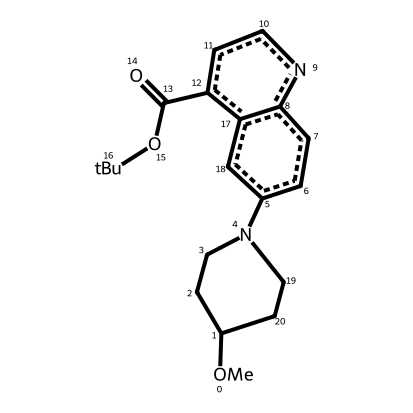 COC1CCN(c2ccc3nccc(C(=O)OC(C)(C)C)c3c2)CC1